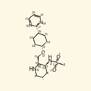 CS(=O)(=O)N[C@H]1CCCN[C@H]1CO[C@H]1CC[C@@H](c2ncccn2)CC1